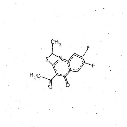 CC(=O)c1c2n(c3cc(F)c(F)cc3c1=O)C(C)S2